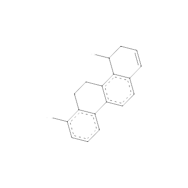 C[CH]C(C)C1CC=Cc2ccc3c(c21)CCc1c(Cl)cccc1-3